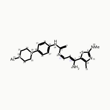 C=C(/N=C\C=C(/N)c1sc(NC)nc1C)Nc1ccc(N2CCN(C(C)=O)CC2)cc1